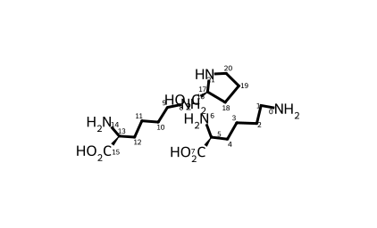 NCCCC[C@H](N)C(=O)O.NCCCC[C@H](N)C(=O)O.O=C(O)[C@@H]1CCCN1